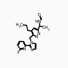 CCCc1cc(C(C)NC=O)nnc1Cn1ccnc1-c1cccc(F)n1